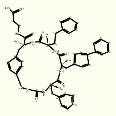 O=C(O)CCNC(=O)[C@@H]1Cc2ccc(cc2)OCC(=O)N[C@@H](Cc2ccncc2)C(=O)N[C@H](Cc2ccc(-c3ccccc3)cc2)C(=O)N[C@@H](CCc2ccccc2)C(=O)N1